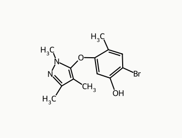 Cc1cc(Br)c(O)cc1Oc1c(C)c(C)nn1C